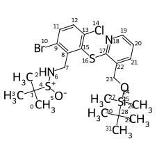 CC(C)(C)[S+]([O-])NCc1c(Br)ccc(Cl)c1Sc1ncccc1CO[Si](C)(C)C(C)(C)C